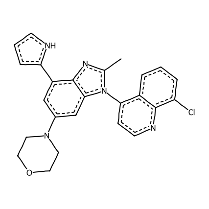 Cc1nc2c(-c3ccc[nH]3)cc(N3CCOCC3)cc2n1-c1ccnc2c(Cl)cccc12